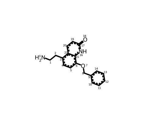 NCCc1ccc(OCc2ccccc2)c2[nH]c(=O)ccc12